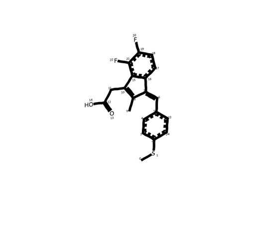 CSc1ccc(C=C2C(C)=C(CC(=O)O)c3c2ccc(F)c3F)cc1